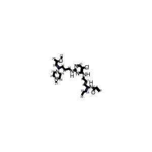 C=CC(=O)NC(/C=C/CNc1nc(NCCC/C(=C\C(C)OC)N2CCN(C)CC2)ncc1Cl)=C/CC